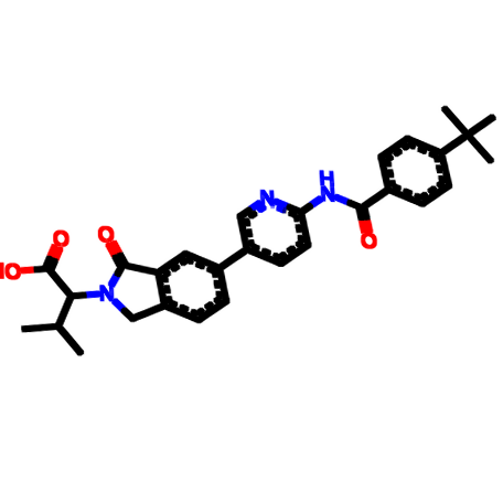 CC(C)C(C(=O)O)N1Cc2ccc(-c3ccc(NC(=O)c4ccc(C(C)(C)C)cc4)nc3)cc2C1=O